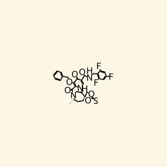 C[C@H]1CC[C@]2(COC(=S)O2)[C@H]2CN1C(=O)c1c(OCc3ccccc3)c(=O)c(C(=O)NCc3c(F)cc(F)cc3F)cn12